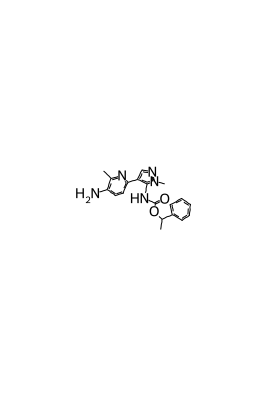 Cc1nc(-c2cnn(C)c2NC(=O)OC(C)c2ccccc2)ccc1N